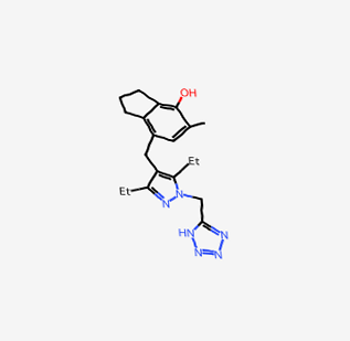 CCc1nn(Cc2nnn[nH]2)c(CC)c1Cc1cc(C)c(O)c2c1CCC2